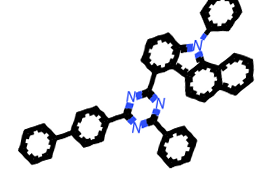 c1ccc(-c2ccc(-c3nc(-c4ccccc4)nc(-c4cccc5c4c4ccc6ccccc6c4n5-c4ccccc4)n3)cc2)cc1